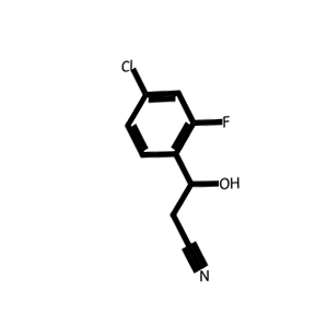 N#CCC(O)c1ccc(Cl)cc1F